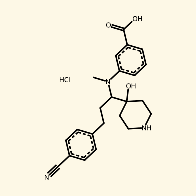 CN(c1cccc(C(=O)O)c1)C(CCc1ccc(C#N)cc1)C1(O)CCNCC1.Cl